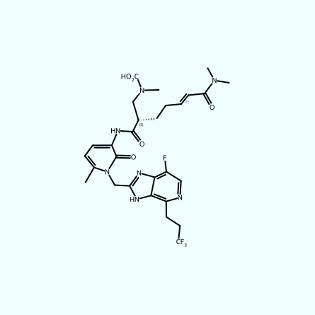 Cc1ccc(NC(=O)[C@@H](CC/C=C/C(=O)N(C)C)CN(C)C(=O)O)c(=O)n1Cc1nc2c(F)cnc(CCC(F)(F)F)c2[nH]1